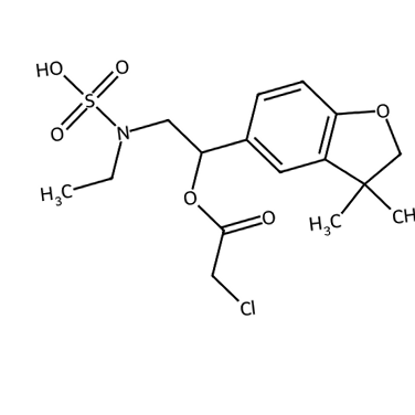 CCN(CC(OC(=O)CCl)c1ccc2c(c1)C(C)(C)CO2)S(=O)(=O)O